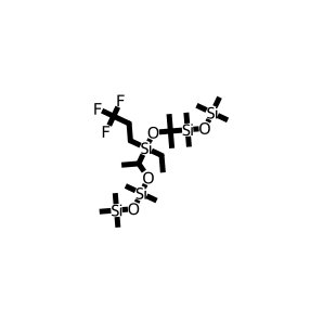 CC[Si](CCC(F)(F)F)(OC(C)(C)[Si](C)(C)O[Si](C)(C)C)C(C)O[Si](C)(C)O[Si](C)(C)C